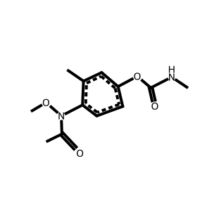 CNC(=O)Oc1ccc(N(OC)C(C)=O)c(C)c1